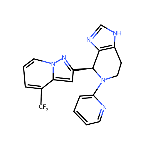 FC(F)(F)c1cccn2nc([C@H]3c4nc[nH]c4CCN3c3ccccn3)cc12